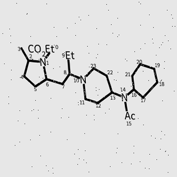 CCOC(=O)N1C(C)CCC1CC(CC)N1CCC(N(C(C)=O)C2CCCCC2)CC1